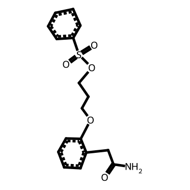 NC(=O)Cc1ccccc1OCCCOS(=O)(=O)c1ccccc1